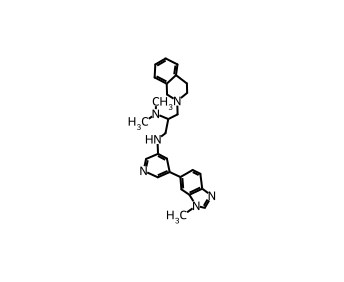 CN(C)C(CNc1cncc(-c2ccc3ncn(C)c3c2)c1)CN1CCc2ccccc2C1